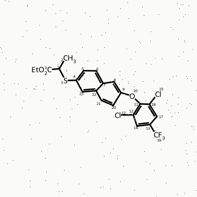 CCOC(=O)C(C)Sc1ccc2cc(Oc3c(Cl)cc(C(F)(F)F)cc3Cl)ccc2c1